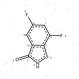 O=c1[nH]sc2c(F)cc(F)cc12